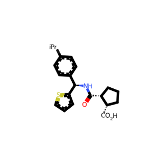 CC(C)c1ccc([C@@H](NC(=O)[C@@H]2CCC[C@@H]2C(=O)O)c2cccs2)cc1